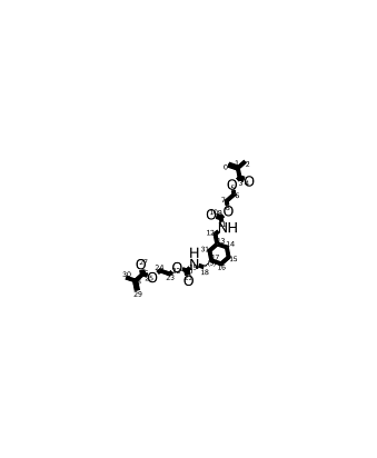 C=C(C)C(=O)OCCOC(=O)NCC1CCC[C@H](CNC(=O)OCCOC(=O)C(=C)C)C1